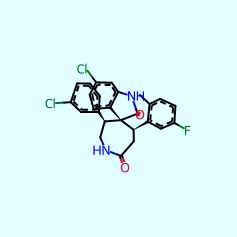 Cc1ccc(F)cc1[C@H]1CC(=O)NC[C@@H](c2cccc(Cl)c2)[C@]12C(=O)Nc1cc(Cl)ccc12